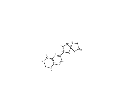 c1cc2c(cc1C1=NOC3(CCOC3)C1)OCCO2